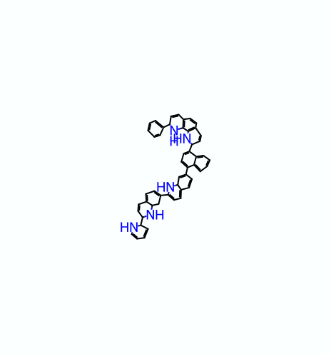 C1=CNC(C2C=CC3=CC=C(C4=CC=C5C=CC(c6ccc(C7C=Cc8ccc9c(c8N7)NC(c7ccccc7)C=C9)c7ccccc67)=CC5N4)CC3N2)C=C1